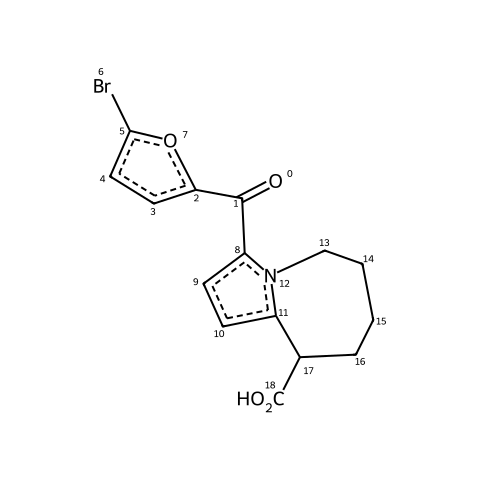 O=C(c1ccc(Br)o1)c1ccc2n1CCCCC2C(=O)O